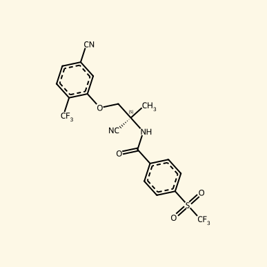 C[C@](C#N)(COc1cc(C#N)ccc1C(F)(F)F)NC(=O)c1ccc(S(=O)(=O)C(F)(F)F)cc1